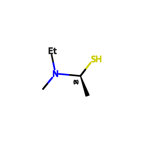 CCN(C)[C@H](C)S